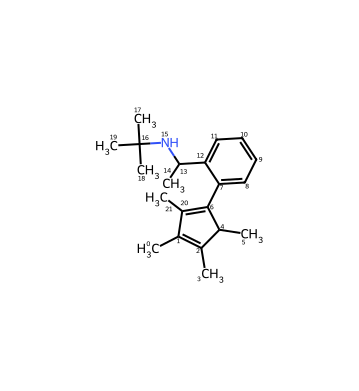 CC1=C(C)C(C)C(c2ccccc2C(C)NC(C)(C)C)=C1C